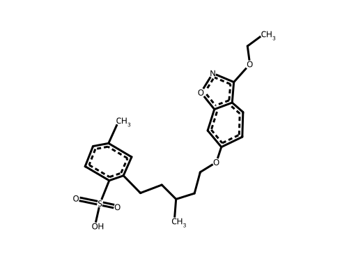 CCOc1noc2cc(OCCC(C)CCc3cc(C)ccc3S(=O)(=O)O)ccc12